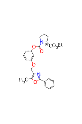 CCOC(=O)[C@H]1CCCN1C(=O)Oc1cccc(OCc2nc(-c3ccccc3)oc2C)c1